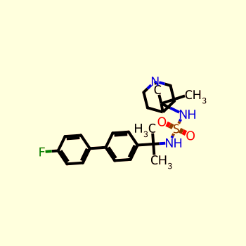 CC(C)(NS(=O)(=O)NC1(C)CN2CCC1CC2)c1ccc(-c2ccc(F)cc2)cc1